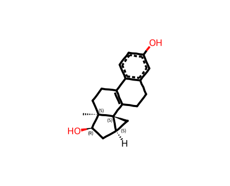 C[C@]12CCC3=C(CCc4cc(O)ccc43)[C@@]13C[C@H]3C[C@H]2O